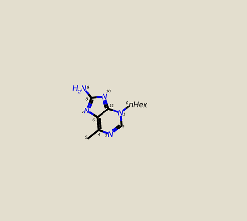 CCCCCCn1cnc(C)c2nc(N)nc1-2